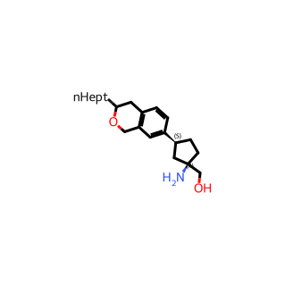 CCCCCCCC1Cc2ccc([C@H]3CC[C@](N)(CO)C3)cc2CO1